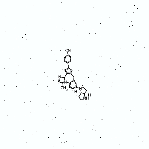 Cc1cnc2n1-c1ccc(N3CC[C@H]4NCC[C@H]43)cc1Cn1cc(-c3ccc(C#N)cc3)cc1-2